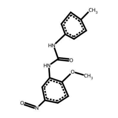 COc1ccc(N=O)cc1NC(=O)Nc1ccc(C)cc1